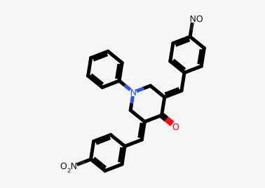 O=Nc1ccc(/C=C2\CN(c3ccccc3)C/C(=C\c3ccc([N+](=O)[O-])cc3)C2=O)cc1